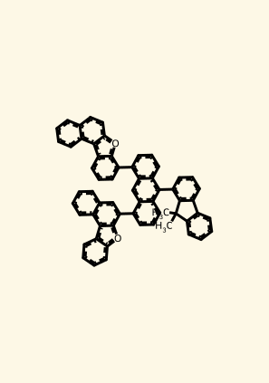 CC1(C)c2ccccc2-c2cccc(-c3c4cccc(-c5cccc6c5oc5ccc7ccccc7c56)c4cc4c(-c5cc6ccccc6c6c5oc5ccccc56)cccc34)c21